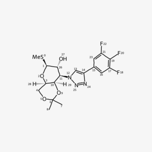 CS[C@@H]1O[C@@H]2COC(C)(C)O[C@@H]2[C@H](n2cc(-c3cc(F)c(F)c(F)c3)nn2)[C@H]1O